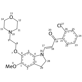 COc1cc2c(cc1OCCN1CCOCC1)N(/C=C/C(=O)c1ccccc1Cl)CC2